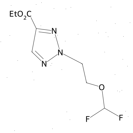 CCOC(=O)c1cnn(CCOC(F)F)n1